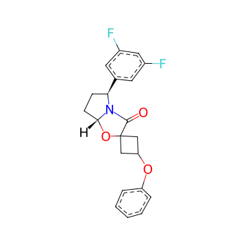 O=C1N2[C@@H](CC[C@H]2c2cc(F)cc(F)c2)OC12CC(Oc1ccccc1)C2